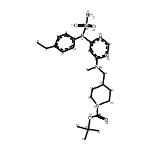 CCc1ccc(N(c2cc(N(C)CC3CCN(C(=O)OC(C)(C)C)CC3)ncn2)S(N)(=O)=O)cc1